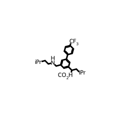 CC(C)CCNCc1cc(-c2ccc(C(F)(F)F)cc2)cc(C(CC(C)C)C(=O)O)c1